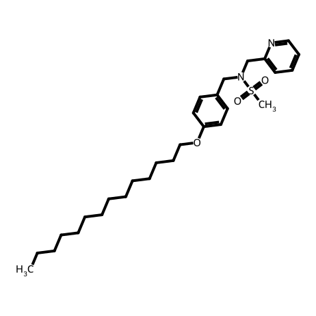 CCCCCCCCCCCCCCOc1ccc(CN(Cc2ccccn2)S(C)(=O)=O)cc1